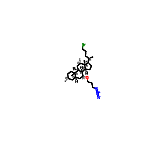 C[C@@H]1CC[C@@]2(C)[C@@H](C1)C[C@@H](OCCCN=[N+]=[N-])[C@@H]1[C@@H]2C[C@H](C)[C@]2(C)[C@@H]([C@H](C)CCCBr)CC[C@@H]12